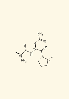 C[C@H](N)C(=O)N[C@@H](CC(N)=O)C(=O)N1CCC[C@H]1C